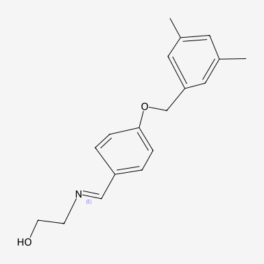 Cc1cc(C)cc(COc2ccc(/C=N/CCO)cc2)c1